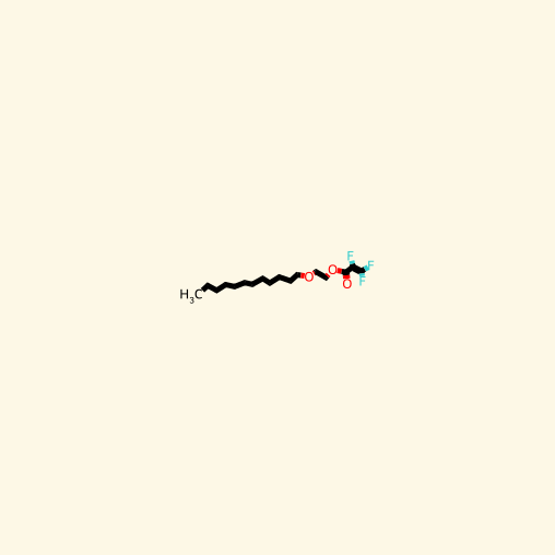 CCCCCCCCCCCCOCCOC(=O)C(F)=C(F)F